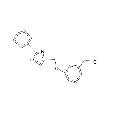 ClCc1cccc(OCc2coc(-c3ccccc3)n2)c1